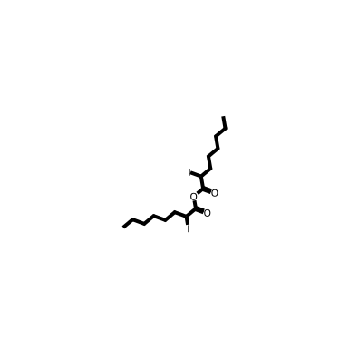 CCCCCCC(I)C(=O)OC(=O)C(I)CCCCCC